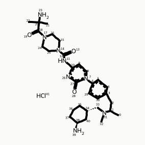 CC(Cc1ccc(-n2ccc(NC(=O)N3CCN(C(=O)C(C)(C)N)CC3)nc2=O)cc1)N(C)C[C@H]1CCC[C@H](N)C1.Cl